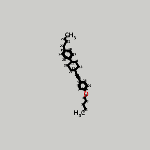 CCCCCOc1ccc(C#CC2CCC(c3ccc(CCCC)cc3)CC2)cc1